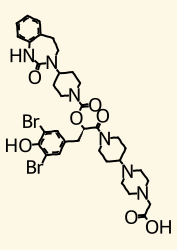 O=C(O)CN1CCN(C2CCN(C(=O)[C@@H](Cc3cc(Br)c(O)c(Br)c3)OC(=O)N3CCC(N4CCc5ccccc5NC4=O)CC3)CC2)CC1